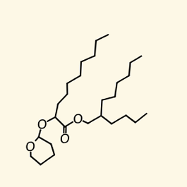 CCCCCCCCC(OC1CCCCO1)C(=O)OCC(CCCC)CCCCCC